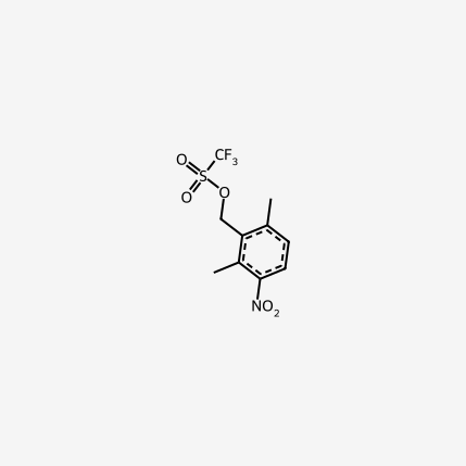 Cc1ccc([N+](=O)[O-])c(C)c1COS(=O)(=O)C(F)(F)F